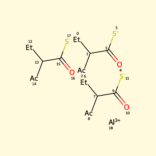 CCC(C(C)=O)C(=O)[S-].CCC(C(C)=O)C(=O)[S-].CCC(C(C)=O)C(=O)[S-].[Al+3]